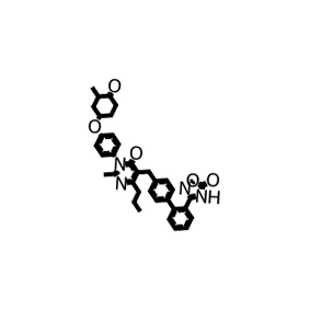 CCCc1nc(C)n(-c2ccc(OC3CCC(=O)C(C)C3)cc2)c(=O)c1Cc1ccc(-c2ccccc2-c2noc(=O)[nH]2)cc1